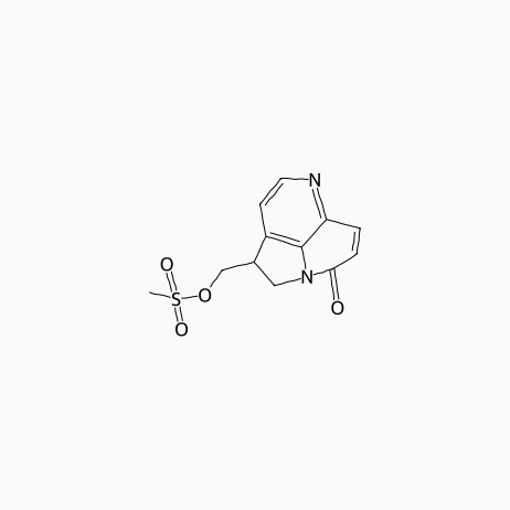 CS(=O)(=O)OCC1Cn2c(=O)ccc3nccc1c32